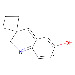 Oc1ccc2c(c1)=CC1(CCC1)CN=2